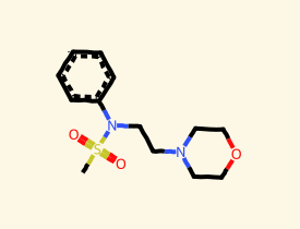 CS(=O)(=O)N(CCN1CCOCC1)c1cc[c]cc1